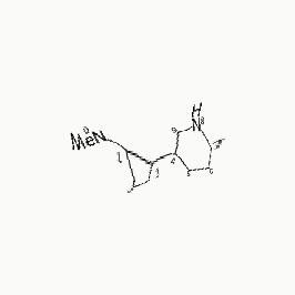 CNC1CC1C1CCCNC1